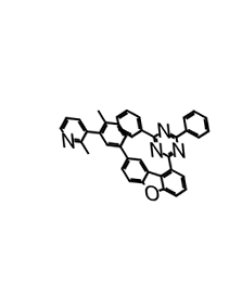 Cc1ccc(-c2ccc3oc4cccc(-c5nc(-c6ccccc6)nc(-c6ccccc6)n5)c4c3c2)cc1-c1cccnc1C